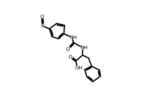 O=Nc1ccc(NC(=O)NC(Cc2ccccc2)C(=O)O)cc1